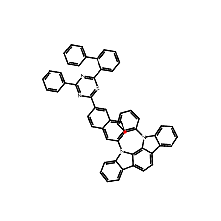 c1ccc(-c2nc(-c3ccc4cc(-n5c6ccccc6c6ccc7c8ccccc8n(-c8ccccc8)c7c65)ccc4c3)nc(-c3ccccc3-c3ccccc3)n2)cc1